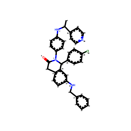 CC(Nc1ccc(N2C(=O)Cc3ccc(NCc4ccccc4)cc3C2c2ccc(Cl)cc2)cc1)c1ccncc1